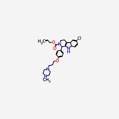 C=CCOC(=O)N1CCC2=C(NC3C=CC(Cl)=CC23)C1c1ccc(OCCCN2CCN(C)CC2)cc1